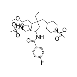 CCC([CH]C(CCO)NC(=O)c1ccc(F)cc1)(CC1CCN(S(C)(=O)=O)CC1)C1CCN(S(C)(=O)=O)C(OC)C1